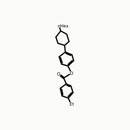 CCCCCCC1CCC(c2ccc(OC(=O)c3ccc(CC)cc3)cc2)CC1